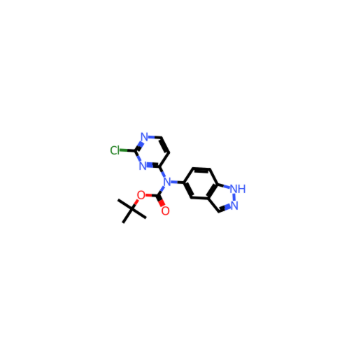 CC(C)(C)OC(=O)N(c1ccc2[nH]ncc2c1)c1ccnc(Cl)n1